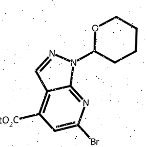 CCOC(=O)c1cc(Br)nc2c1cnn2C1CCCCO1